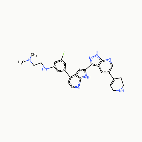 CN(C)CCNc1cc(F)cc(-c2ccnc3[nH]c(-c4n[nH]c5ncc(C6=CCNCC6)cc45)cc23)c1